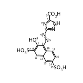 O=C(O)c1nc(/N=N/c2c(O)c(S(=O)(=O)O)cc3cc(S(=O)(=O)O)ccc23)n[nH]1